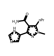 CCCc1c(C(N)=O)c(-c2cnc[nH]2)nn1C